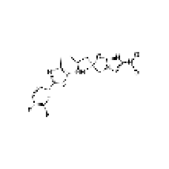 CC1(CC2CCc3nc(-c4ccc(F)c(F)c4)sc3N2)Cn2cc([N+](=O)[O-])nc2O1